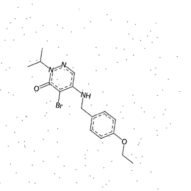 CCOc1ccc(CNc2cnn(C(C)C)c(=O)c2Br)cc1